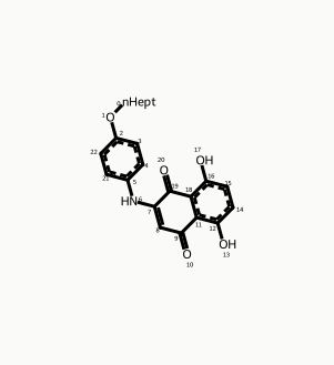 CCCCCCCOc1ccc(NC2=CC(=O)c3c(O)ccc(O)c3C2=O)cc1